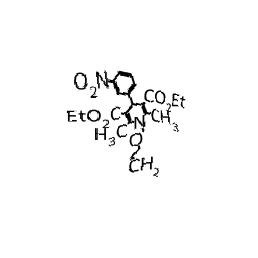 C=CCOCN1C(C)=C(C(=O)OCC)C(c2cccc([N+](=O)[O-])c2)C(C(=O)OCC)=C1C